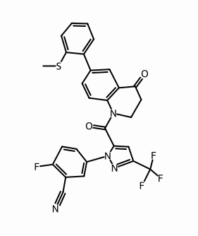 CSc1ccccc1-c1ccc2c(c1)C(=O)CCN2C(=O)c1cc(C(F)(F)F)nn1-c1ccc(F)c(C#N)c1